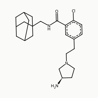 N[C@@H]1CCN(CCc2ccc(Cl)c(C(=O)NCC34CC5CC(CC(C5)C3)C4)c2)C1